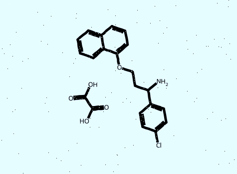 NC(CCOc1cccc2ccccc12)c1ccc(Cl)cc1.O=C(O)C(=O)O